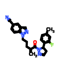 C=C(CCCn1ncc2cc(C#N)ccc21)C(=O)N1N=CCC1c1ccc(C)cc1F